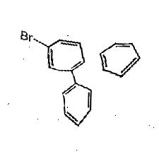 Brc1cccc(-c2ccccc2)c1.c1ccccc1